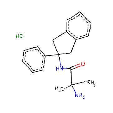 CC(C)(N)C(=O)NC1(c2ccccc2)Cc2ccccc2C1.Cl